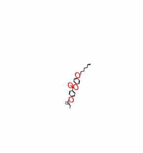 C=CCCCCCOc1ccc(OC(=O)c2ccc(OC[C@@H](C)CC)cc2)cc1